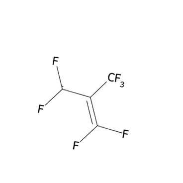 F[C](F)C(=C(F)F)C(F)(F)F